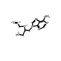 Nc1ncnc2c1ncn2CC(CO)OCP=O